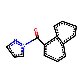 O=C(c1cccc2ccccc12)n1cccn1